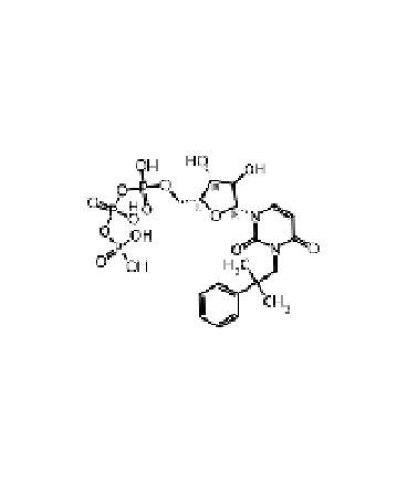 CC(C)(Cn1c(=O)ccn([C@@H]2O[C@H](COP(=O)(O)OP(=O)(O)OP(=O)(O)O)[C@H](O)C2O)c1=O)c1ccccc1